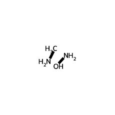 CN.NO